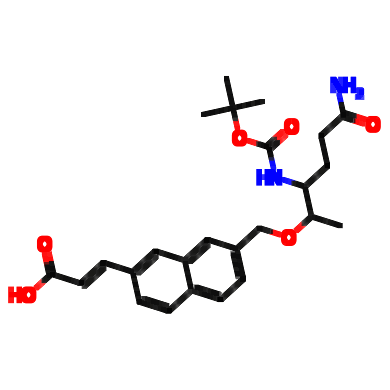 CC(OCc1ccc2ccc(/C=C/C(=O)O)cc2c1)C(CCC(N)=O)NC(=O)OC(C)(C)C